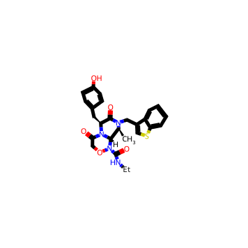 CCNC(=O)N1OCC(=O)N2[C@@H]1[C@H](C)N(Cc1csc3ccccc13)C(=O)[C@@H]2Cc1ccc(O)cc1